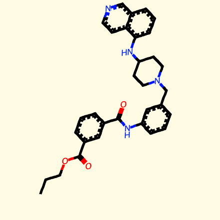 CCCOC(=O)c1cccc(C(=O)Nc2cccc(CN3CCC(Nc4cccc5cnccc45)CC3)c2)c1